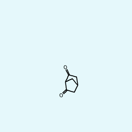 O=C1CC2CC(=O)C1C2